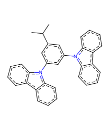 CC(C)c1cc(-n2c3ccccc3c3ccccc32)cc(-n2c3ccccc3c3ccccc32)c1